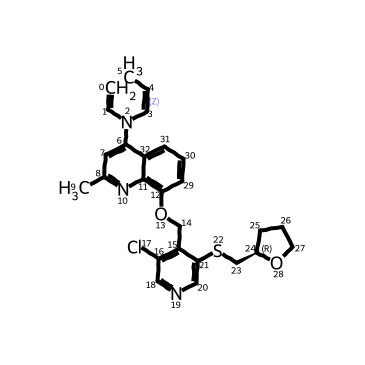 C=CN(/C=C\C)c1cc(C)nc2c(OCc3c(Cl)cncc3SC[C@H]3CCCO3)cccc12